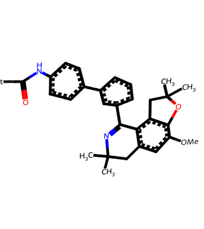 CCC(=O)Nc1ccc(-c2cccc(C3=NC(C)(C)Cc4cc(OC)c5c(c43)CC(C)(C)O5)c2)cc1